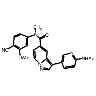 COc1cc(N(C)C(=O)c2ccn3ncc(-c4ccc(NC(C)=O)nc4)c3c2)ccc1C#N